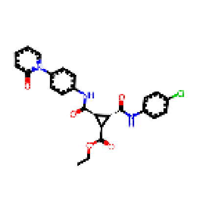 CCOC(=O)[C@@H]1[C@@H](C(=O)Nc2ccc(Cl)cc2)[C@@H]1C(=O)Nc1ccc(-n2ccccc2=O)cc1